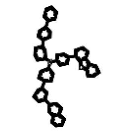 c1ccc(-c2ccc(-c3cccc(N(c4ccc(-c5cccc(-c6ccc7ccccc7c6)c5)cc4)c4ccc(-c5cccc6c5oc5ccccc56)cc4)c3)cc2)cc1